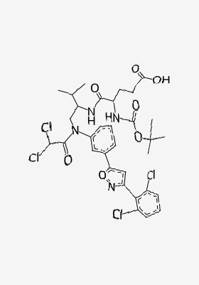 CC(C)C(CN(C(=O)C(Cl)Cl)c1cccc(-c2cc(-c3c(Cl)cccc3Cl)no2)c1)NC(=O)C(CCC(=O)O)NC(=O)OC(C)(C)C